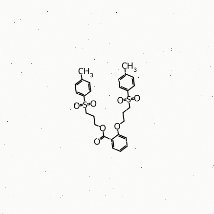 Cc1ccc(S(=O)(=O)CCCOC(=O)c2ccccc2OCCCS(=O)(=O)c2ccc(C)cc2)cc1